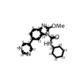 COc1nc2ccc(-c3cncnc3)cc2n1C(=O)NC1CCCCC1